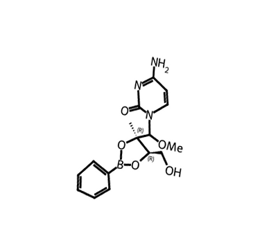 COC(n1ccc(N)nc1=O)[C@]1(C)OB(c2ccccc2)O[C@@H]1CO